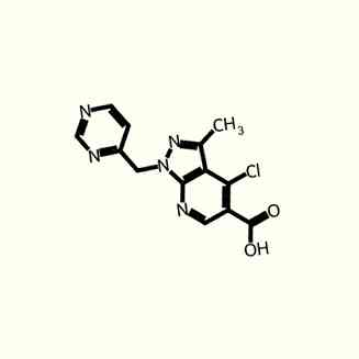 Cc1nn(Cc2ccncn2)c2ncc(C(=O)O)c(Cl)c12